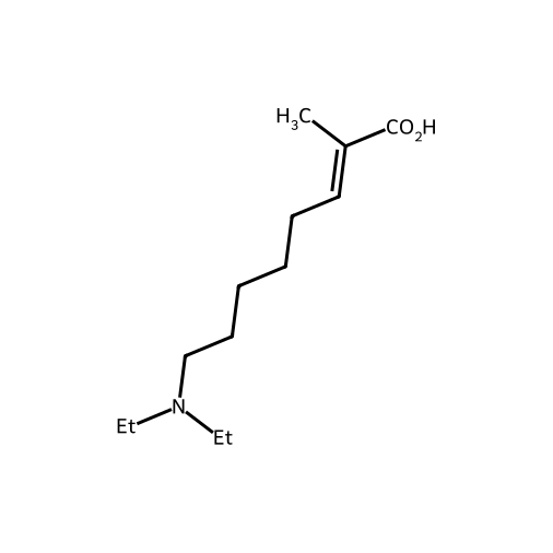 CCN(CC)CCCCCC=C(C)C(=O)O